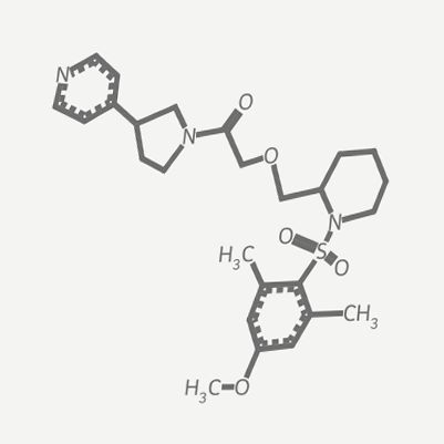 COc1cc(C)c(S(=O)(=O)N2CCCCC2COCC(=O)N2CCC(c3ccncc3)C2)c(C)c1